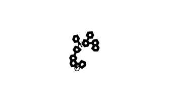 c1ccc(-c2cc(N(c3ccccc3)c3ccc(-c4ccc5ccc6oc7ccccc7c6c5c4)cc3)ccc2-c2cccc3ccccc23)cc1